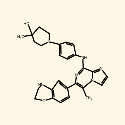 Cc1c(-c2ccc3c(c2)NCCO3)nc(Nc2ccc(N3CCC(C)(O)CC3)cc2)c2nccn12